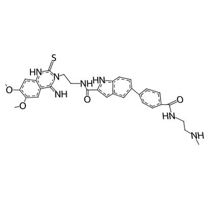 CNCCNC(=O)c1ccc(-c2ccc3[nH]c(C(=O)NCCn4c(=S)[nH]c5cc(OC)c(OC)cc5c4=N)cc3c2)cc1